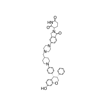 O=C1CCC(N2Cc3cc(N4CCN(CC5CCN(c6ccc([C@H]7c8ccc(O)cc8OC[C@H]7c7ccccc7)cc6)CC5)CC4)ccc3C2=O)C(=O)N1